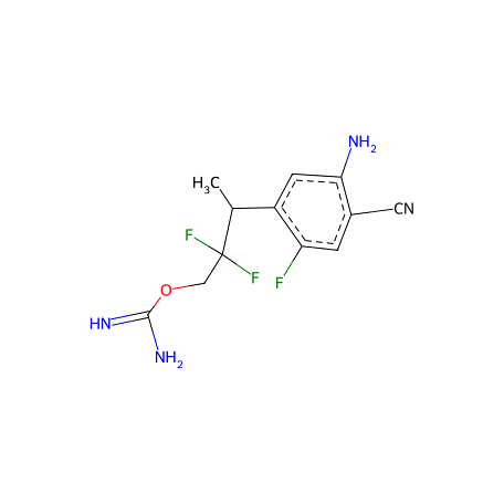 CC(c1cc(N)c(C#N)cc1F)C(F)(F)COC(=N)N